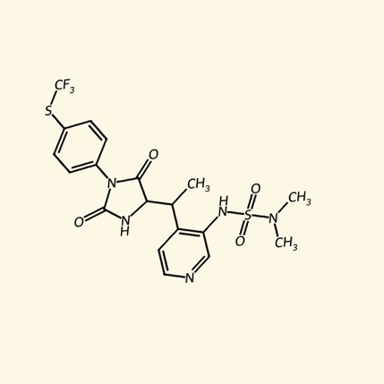 CC(c1ccncc1NS(=O)(=O)N(C)C)C1NC(=O)N(c2ccc(SC(F)(F)F)cc2)C1=O